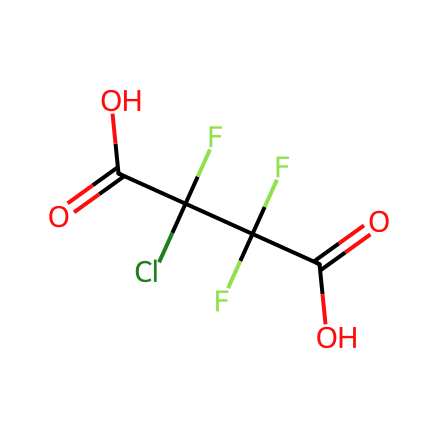 O=C(O)C(F)(F)C(F)(Cl)C(=O)O